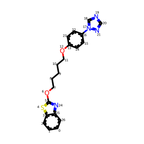 c1ccc2sc(OCCCCCOc3ccc(-n4cncn4)cc3)nc2c1